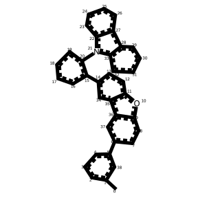 Cc1cccc(-c2ccc3oc4ccc(-c5ccccc5-n5c6ccccc6c6ccccc65)cc4c3c2)c1